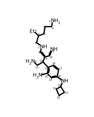 CCC(CCCN)CN/C=C(\C=N)C(CN)c1ccc(NC2CCC2)cc1N